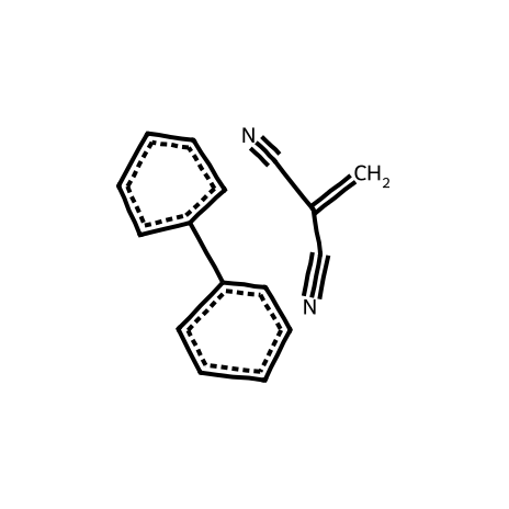 C=C(C#N)C#N.c1ccc(-c2ccccc2)cc1